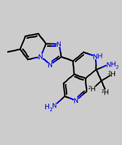 [2H]C([2H])([2H])C1(N)NC=C(c2nc3ccc(C)cn3n2)c2cc(N)ncc21